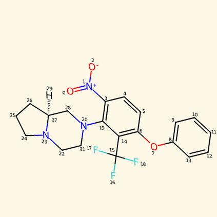 O=[N+]([O-])c1ccc(Oc2ccccc2)c(C(F)(F)F)c1N1CCN2CCC[C@H]2C1